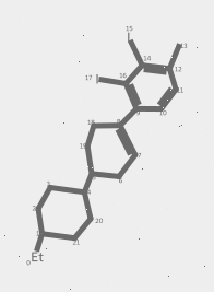 CCC1CCC(C2CC=C(c3ccc(C)c(I)c3I)CC2)CC1